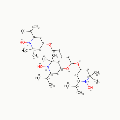 CC(C)C1CC(OCCCCC(OC2CC(C(C)C)N(O)C(C)(C)C2)OC2CC(C(C)C)N(O)C(C)(C)C2)CC(C)(C)N1O